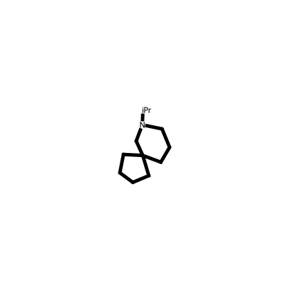 CC(C)N1CCCC2(CCCC2)C1